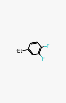 C[CH]c1ccc(F)c(F)c1